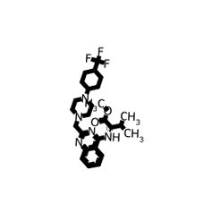 COC(=O)[C@@H](Nc1nc(CN2CCN(C3CCC(C(F)(F)F)CC3)CC2)nc2ccccc12)C(C)C